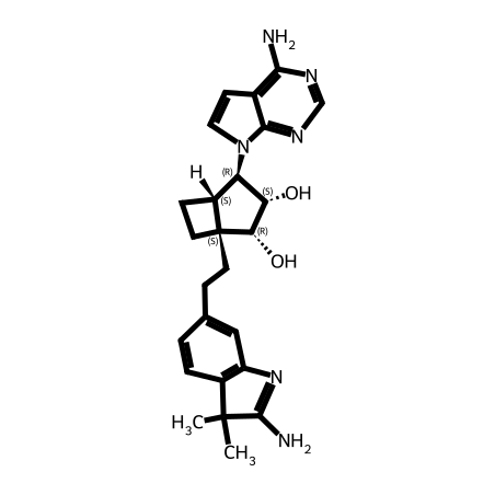 CC1(C)C(N)=Nc2cc(CC[C@@]34CC[C@@H]3[C@@H](n3ccc5c(N)ncnc53)[C@H](O)[C@@H]4O)ccc21